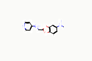 CNc1ccc2c(c1)OC(CNc1ccncc1)O2